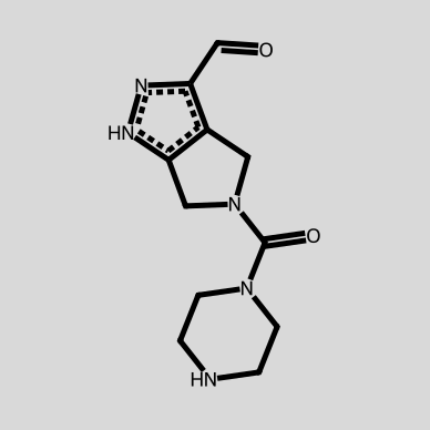 O=Cc1n[nH]c2c1CN(C(=O)N1CCNCC1)C2